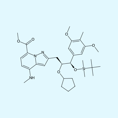 CNc1ccc(C(=O)OC)n2nc(C[C@H](OC3CCCC3)[C@H](O[Si](C)(C)C(C)(C)C)c3cc(OC)c(C)c(OC)c3)cc12